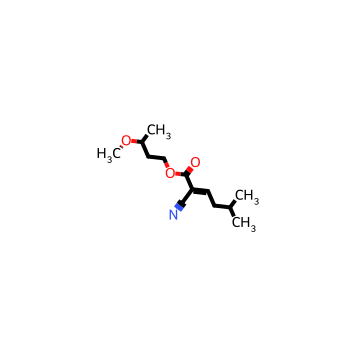 COC(C)CCOC(=O)C(C#N)=CCC(C)C